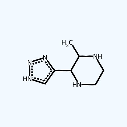 CC1NCCNC1c1c[nH]nn1